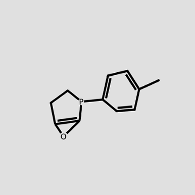 Cc1ccc(P2CCC3=C2O3)cc1